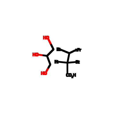 CCCC(CC)C(CC)(CC)C(=O)O.OCC(O)CO